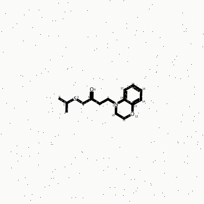 CC(C)SCC(=O)CCN1CCOc2ccccc21